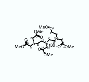 COOCCN(CC(=O)OC)C(CN(CCN(CC(=O)OC)CC(=O)OC)CC(=O)OC)C(C)(C)C